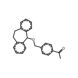 CC(=O)c1ccc(COC2c3ccccc3CCc3ccccc32)cc1